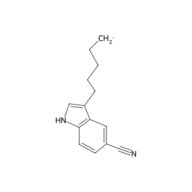 [CH2]CCCCc1c[nH]c2ccc(C#N)cc12